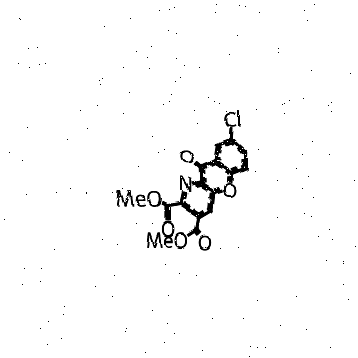 COC(=O)c1cc2oc3ccc(Cl)cc3c(=O)c2nc1C(=O)OC